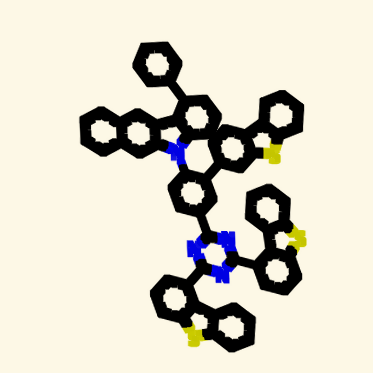 c1ccc(-c2cccc3c2c2cc4ccccc4cc2n3-c2ccc(-c3nc(-c4cccc5sc6ccccc6c45)nc(-c4cccc5sc6ccccc6c45)n3)cc2-c2ccc3c(c2)sc2ccccc23)cc1